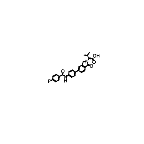 CC(C)[C@@H](C(=O)O)N1Cc2cc(-c3ccc(NC(=O)c4ccc(F)cc4)cc3)ccc2C1=O